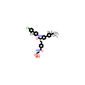 Cc1cc(Cl)ccc1-c1ccc(NC(=O)[C@@H](CCc2ccc(C(=O)NCCS(=O)(=O)O)cc2)c2ccc(-c3ccc(C(C)(C)C)cc3)cc2)cc1